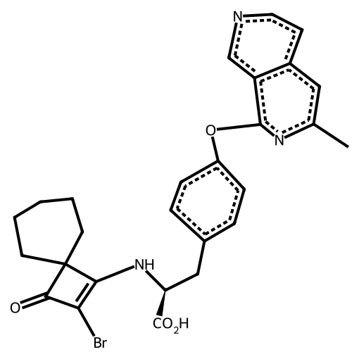 Cc1cc2ccncc2c(Oc2ccc(C[C@H](NC3=C(Br)C(=O)C34CCCCC4)C(=O)O)cc2)n1